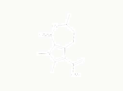 COC(=O)c1c2c(n(C)c1C)C(=O)NC(C)CC2